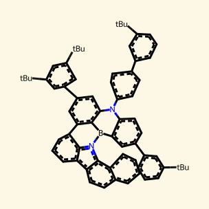 CC(C)(C)c1cccc(-c2ccc(N3c4ccc(-c5cccc(C(C)(C)C)c5)cc4B4c5c(cc(-c6cc(C(C)(C)C)cc(C(C)(C)C)c6)cc53)-c3cccc5c6ccc7ccccc7c6n4c35)cc2)c1